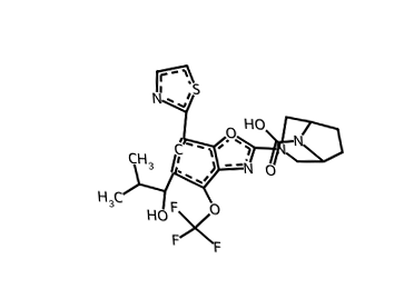 CC(C)C(O)c1cc(-c2nccs2)c2oc(N3CC4CCC(C3)N4C(=O)O)nc2c1OC(F)(F)F